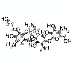 CN[C@@H]1[C@@H](O[C@H]2O[C@H](CO)[C@@H](N)[C@H](O)[C@H]2O)OC2C[C@@H](N)[C@@H](O[C@H]3[C@H](OCCCO)[C@@H](O)[C@H](N)C[C@@H]3N)OC2[C@@H]1O